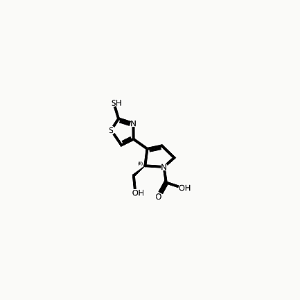 O=C(O)N1CC=C(c2csc(S)n2)[C@@H]1CO